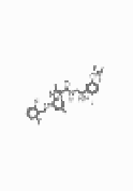 Cc1cc(OCc2c(F)cccc2F)c2nc(C)c(C(=O)NCC(N)c3cccc(OC(F)(F)F)c3)n2c1